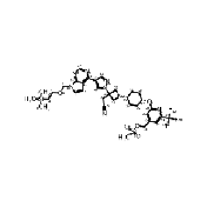 C[Si](C)(C)CCOCn1ccc2c(-c3cnn(C4(CC#N)CN([C@H]5CC[C@@H](Oc6cc(COS(C)(=O)=O)cc(C(F)(F)F)n6)CC5)C4)c3)ncnc21